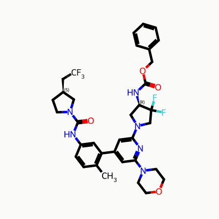 Cc1ccc(NC(=O)N2CC[C@@H](CC(F)(F)F)C2)cc1-c1cc(N2CCOCC2)nc(N2C[C@@H](NC(=O)OCc3ccccc3)C(F)(F)C2)c1